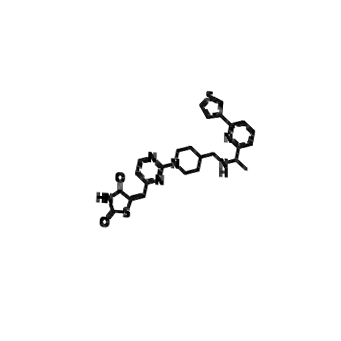 CC(NCC1CCN(c2nccc(C=C3SC(=O)NC3=O)n2)CC1)c1cccc(-c2ccsc2)n1